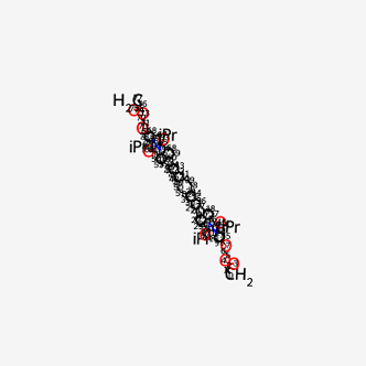 C=CC(=O)OCCOc1cc(C(C)C)c(N2C(=O)c3ccc4c5c(ccc(c35)C2=O)-c2cc3cc5c(cc3cc2-4)/C=C\c2cc3cc4c(cc3cc2CC5)-c2ccc3c5c(ccc-4c25)C(=O)N(c2c(C(C)C)cc(OCCOC(=O)C=C)cc2C(C)C)C3=O)c(C(C)C)c1